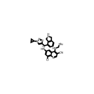 CC(C)(C)CNc1c(C#N)cnc2c(Cl)cc(N[C@H](c3cn(C4CC4)nn3)c3cccc4c3CNC4)cc12